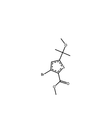 COC(=O)c1sc(C(C)(C)OC)cc1Br